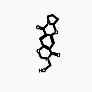 O=C1c2cc3c(cc2OCN1CO)C(=O)N1CCCC1O3